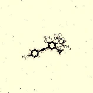 COc1cc(N(S(C)(=O)=O)S(C)(=O)=O)c(C2CC2)cc1C#Cc1ccc(C)cc1